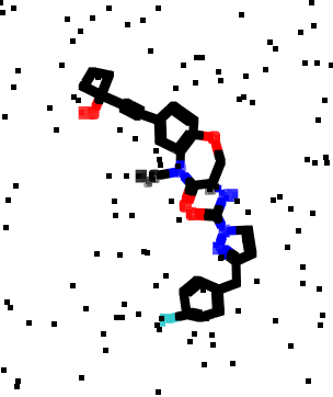 CN1C(=O)[C@@H](NC(=O)n2ccc(Cc3ccc(F)cc3)n2)COc2ccc(C#CC3(O)CCC3)cc21